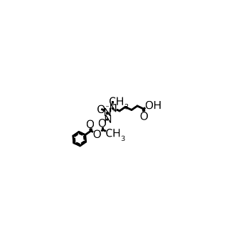 CC(ON=[N+]([O-])N(C)CCCCC(=O)O)OC(=O)c1ccccc1